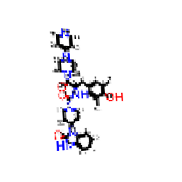 Cc1cc(CC(NC(=O)N2CCC(n3c(=O)[nH]c4ccccc43)CC2)C(=O)N2CCN(c3ccncc3)CC2)cc(C)c1O